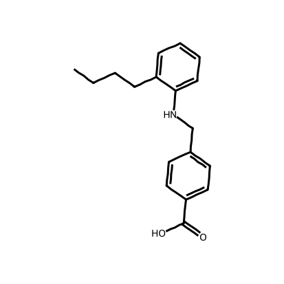 CCCCc1ccccc1NCc1ccc(C(=O)O)cc1